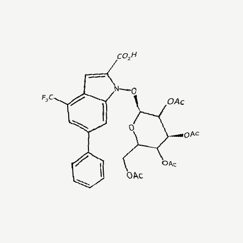 CC(=O)OCC1O[C@@H](On2c(C(=O)O)cc3c(C(F)(F)F)cc(-c4ccccc4)cc32)C(OC(C)=O)[C@@H](OC(C)=O)C1OC(C)=O